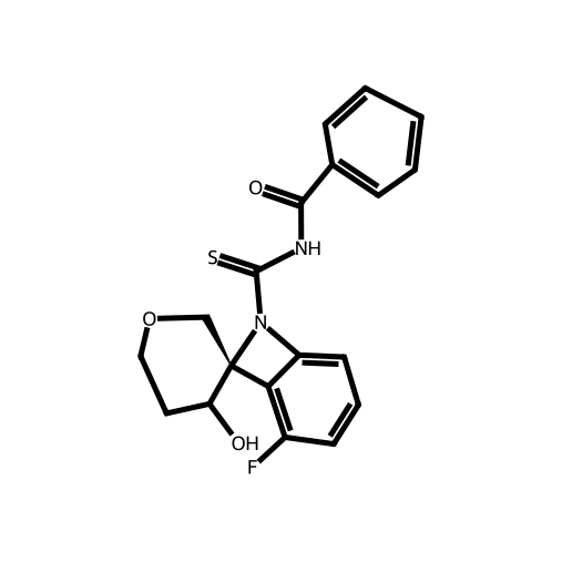 O=C(NC(=S)N1c2cccc(F)c2[C@@]12COCCC2O)c1ccccc1